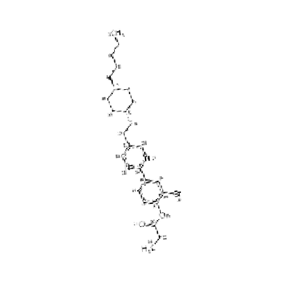 CCCCC[C@H]1CC[C@H](CCc2cnc(-c3ccc(OC(=O)CC)c(Br)c3)nc2)CC1